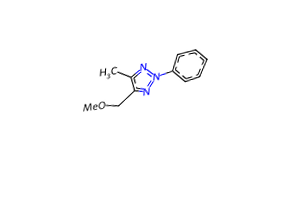 COCc1nn(-c2ccccc2)nc1C